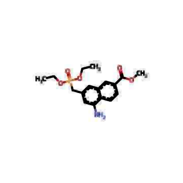 CCOP(=O)(Cc1cc(N)c2ccc(C(=O)OC)cc2c1)OCC